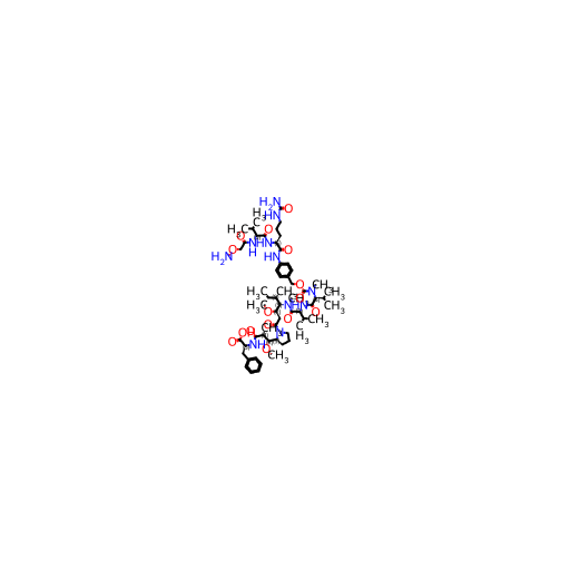 CC[C@H](C)[C@@H]([C@@H](CC(=O)N1CCC[C@H]1[C@H](OC)[C@@H](C)C(=O)N[C@@H](Cc1ccccc1)C(=O)O)OC)N(C)C(=O)[C@@H](NC(=O)[C@H](C(C)C)N(C)C(=O)OCc1ccc(NC(=O)[C@H](CCCNC(N)=O)NC(=O)[C@@H](NC(=O)CON)C(C)C)cc1)C(C)C